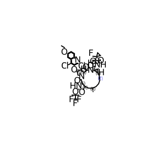 CCOc1ccc2nc(Cl)c(O[C@@H]3C[C@H]4C(=O)N[C@]5(C(=O)NS(=O)(=O)C6(CF)CC6)C[C@H]5/C=C\CC[C@@H](C)C[C@@H](C)[C@H](NC(=O)OC(C)(C)C(F)(F)F)C(=O)N4C3)c(Cl)c2c1